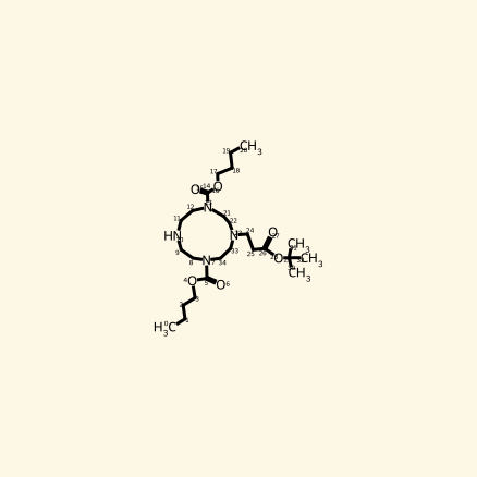 CCCCOC(=O)N1CCNCCN(C(=O)OCCCC)CCN(CCC(=O)OC(C)(C)C)CC1